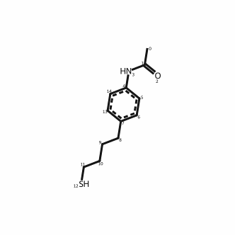 CC(=O)Nc1ccc(CCCCS)cc1